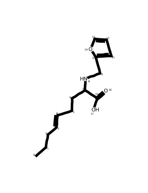 CCCC=CCCC(NCc1ccco1)C(=O)O